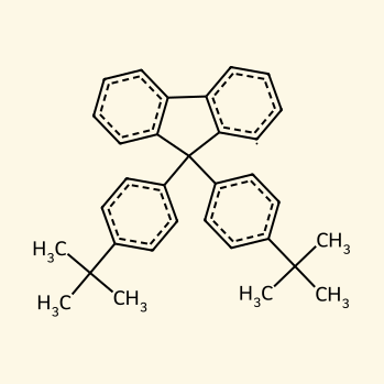 CC(C)(C)c1ccc(C2(c3ccc(C(C)(C)C)cc3)c3[c]cccc3-c3ccccc32)cc1